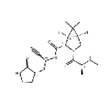 CN[C@@H](C)C(=O)N1C[C@H]2[C@@H]([C@H]1C(=O)N[C@H](C#N)C[C@@H]1CCNC1=O)C2(C)C